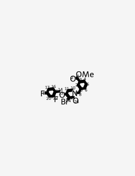 COC(=O)c1cccc(Cn2ccc(OCc3ccc(F)cc3F)c(Br)c2=O)c1